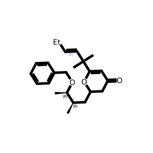 CC/C=C/C(C)(C)C1=CC(=O)CC(C[C@@H](C)[C@@H](C)OCc2ccccc2)O1